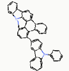 c1ccc(-n2c3ccccc3c3cc(-c4ccc5c6c4c4ccccc4c4ccc7c8ccccc8n5c7c46)ccc32)cc1